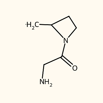 [CH2]C1CCN1C(=O)CN